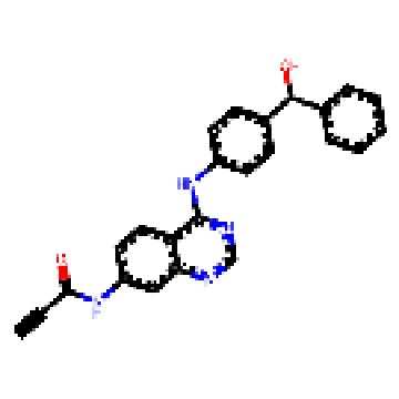 C#CC(=O)Nc1ccc2c(Nc3ccc(C(O)c4ccccc4)cc3)ncnc2c1